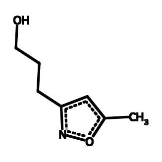 Cc1cc(CCCO)no1